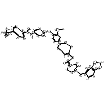 COc1cc(N2CCC(CC(=O)N3CCN(Cc4ccc5c(c4)OCO5)CC3)CC2)ccc1Oc1ccc(NC(=O)c2ccc(C(F)(F)F)cc2)cn1